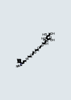 N#[N+]/N=C(/CCCSSCCOCCOCCOCCOCCC(=O)NC1C(O)OC(CO)C(O)C1O)C1CCC1